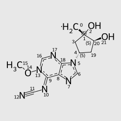 [CH2][C@]1(O)C[C@@H](n2cnc3c(=NC#N)n(OC)cnc32)C[C@@H]1O